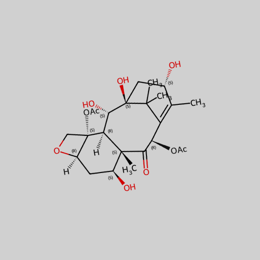 CC(=O)O[C@H]1C(=O)[C@@]2(C)[C@H]([C@H](O)[C@]3(O)C[C@H](O)C(C)=C1C3(C)C)[C@]1(OC(C)=O)CO[C@@H]1C[C@@H]2O